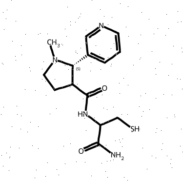 CN1CCC(C(=O)NC(CS)C(N)=O)[C@H]1c1cccnc1